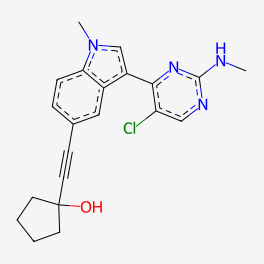 CNc1ncc(Cl)c(-c2cn(C)c3ccc(C#CC4(O)CCCC4)cc23)n1